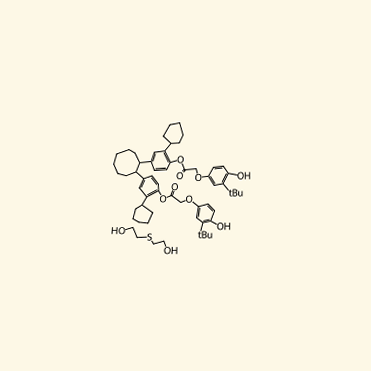 CC(C)(C)c1cc(OCC(=O)Oc2ccc(C3CCCCCCC3c3ccc(OC(=O)COc4ccc(O)c(C(C)(C)C)c4)c(C4CCCCC4)c3)cc2C2CCCCC2)ccc1O.OCCSCCO